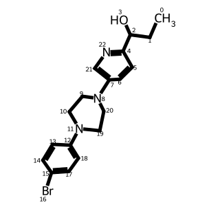 CCC(O)c1ccc(N2CCN(c3ccc(Br)cc3)CC2)cn1